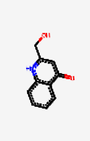 O=c1cc(CO)[nH]c2ccccc12